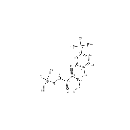 CCN(Cc1ccc(C(F)(F)F)cn1)C(=O)C(=O)OCC(F)(F)F